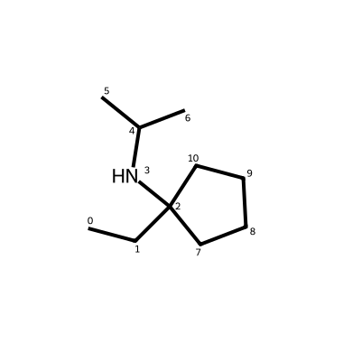 CCC1(NC(C)C)CCCC1